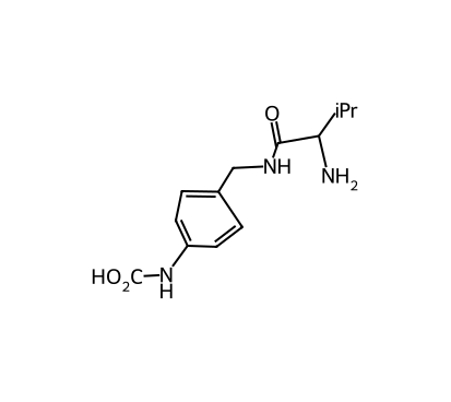 CC(C)C(N)C(=O)NCc1ccc(NC(=O)O)cc1